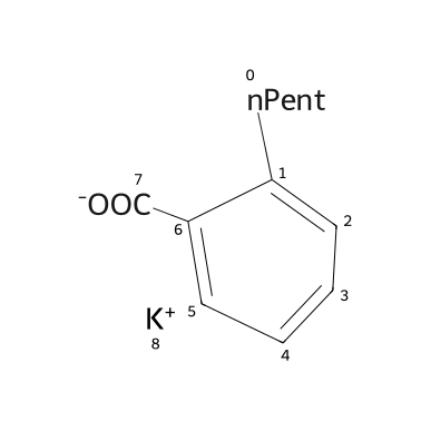 CCCCCc1ccccc1C(=O)[O-].[K+]